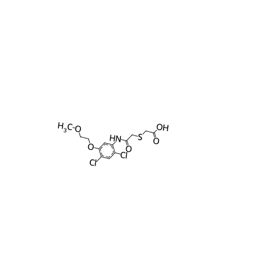 COCCOc1cc(NC(=O)CSCC(=O)O)c(Cl)cc1Cl